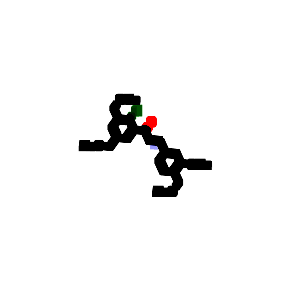 COCc1cc(COC)c(Cl)c(C(=O)/C=C/c2ccc(COC)c(OC)c2)c1